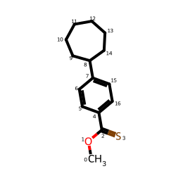 COC(=S)c1ccc(C2CCCCCC2)cc1